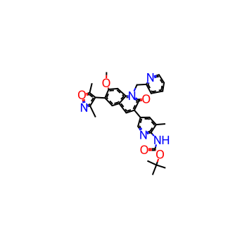 COc1cc2c(cc1-c1c(C)noc1C)cc(-c1cnc(NC(=O)OC(C)(C)C)c(C)c1)c(=O)n2Cc1ccccn1